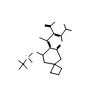 CC(C)c1nc2c(c(I)c1C(=O)O)C(O[Si](C)(C)C(C)(C)C)CC1(CCC1)C2